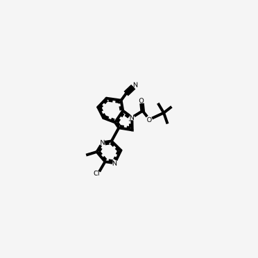 Cc1nc(-c2cn(C(=O)OC(C)(C)C)c3c(C#N)cccc23)cnc1Cl